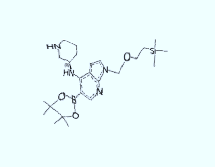 CC1(C)OB(c2cnc3c(ccn3COCC[Si](C)(C)C)c2N[C@@H]2CCCNC2)OC1(C)C